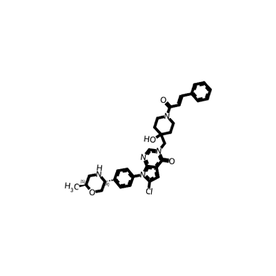 C[C@H]1CN[C@H](c2ccc(-n3c(Cl)cc4c(=O)n(CC5(O)CCN(C(=O)C=Cc6ccccc6)CC5)cnc43)cc2)CO1